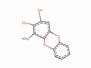 CCCCCCCCCCc1c(O)c(O)cc2c1Oc1ccccc1O2